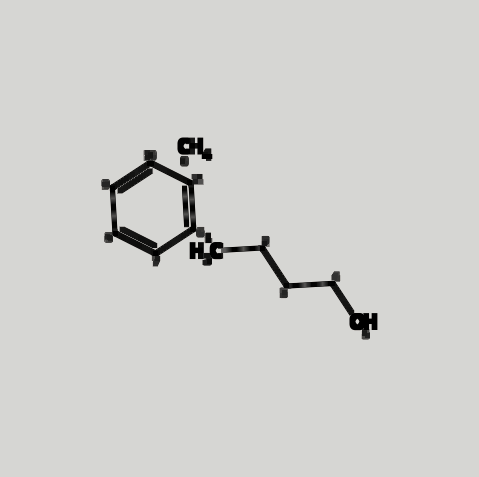 C.CCCCO.c1ccccc1